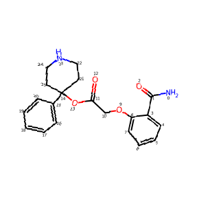 NC(=O)c1ccccc1OCC(=O)OC1(c2ccccc2)CCNCC1